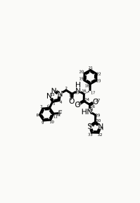 O=C(Cn1cc(-c2ccccc2F)nn1)N[C@H](Cc1ccccc1)C(=O)C(=O)NCc1nccs1